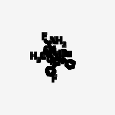 CN(C)C(=O)N(CCC(N)CF)[C@@H](c1nc(-c2cccc(F)c2)cn1Cc1ccccc1)C(C)(C)C